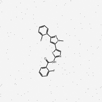 Cn1nc(-c2ccccc2F)cc1-c1cnc(NC(=O)c2ccccc2F)s1